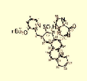 CCCCOc1cccnc1CC1C=c2c(ccc3c4c(ccc23)CC=CC=4)CC1S(=O)(=O)O.O=C1N=CN=C2N=CN=C12